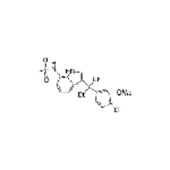 CCC(CC)(c1ccc(Cl)c(OC)c1)c1c[nH]c2c(NS(C)(=O)=O)cccc12